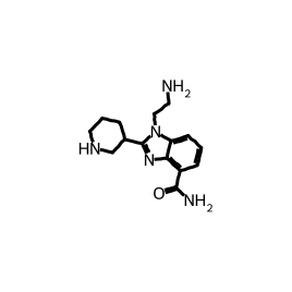 NCCn1c(C2CCCNC2)nc2c(C(N)=O)cccc21